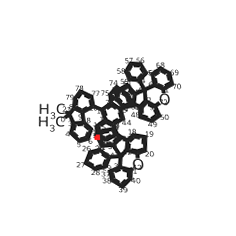 CC1(C)c2ccccc2-c2c(-c3c4cccc(-c5cccc6c5C(c5ccccc5)(c5ccccc5)c5ccccc5O6)c4cc4c(-c5cccc6c5C(c5ccccc5)(c5ccccc5)c5ccccc5O6)cccc34)cccc21